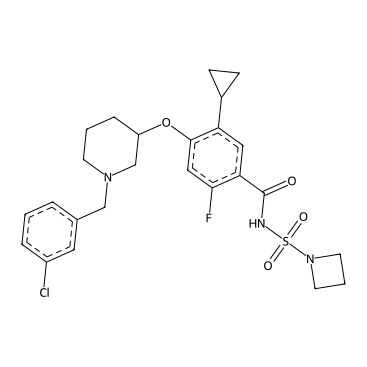 O=C(NS(=O)(=O)N1CCC1)c1cc(C2CC2)c(OC2CCCN(Cc3cccc(Cl)c3)C2)cc1F